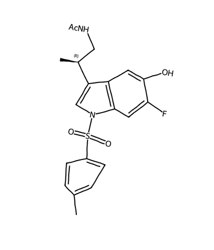 CC(=O)NC[C@H](C)c1cn(S(=O)(=O)c2ccc(C)cc2)c2cc(F)c(O)cc12